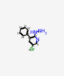 NNc1ncc(Br)cc1-c1ccccc1